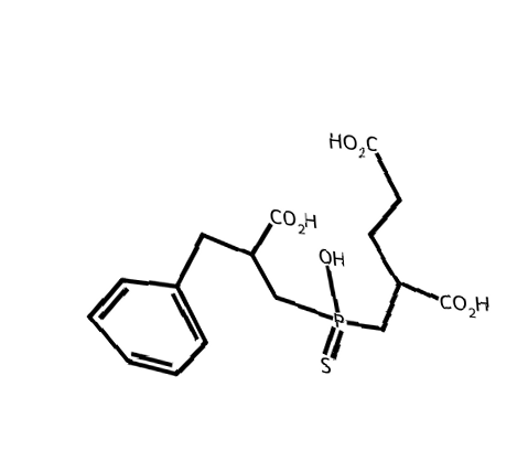 O=C(O)CCC(CP(O)(=S)CC(Cc1ccccc1)C(=O)O)C(=O)O